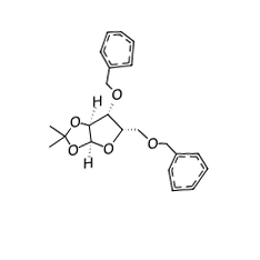 CC1(C)O[C@@H]2O[C@@H](COCc3ccccc3)[C@@H](OCc3ccccc3)[C@@H]2O1